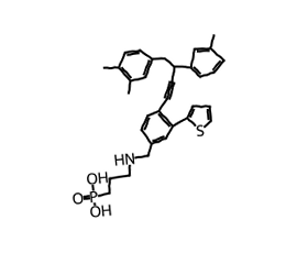 Cc1cccc(C(C#Cc2ccc(CNCCCP(=O)(O)O)cc2-c2cccs2)Cc2ccc(C)c(C)c2)c1